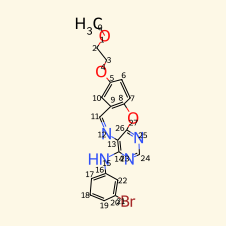 COCCOc1ccc2c(c1)C=Nc1c(Nc3cccc(Br)c3)ncnc1O2